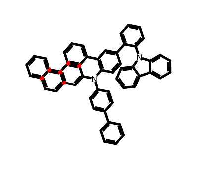 c1ccc(-c2ccc(N(c3ccc(-c4ccccc4)cc3)c3ccc(-c4ccccc4-n4c5ccccc5c5ccccc54)cc3-c3cccc(-c4ccccc4)c3)cc2)cc1